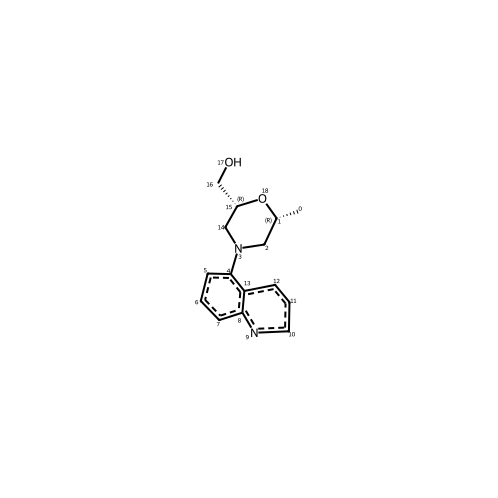 C[C@@H]1CN(c2cccc3ncccc23)C[C@H](CO)O1